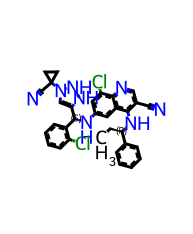 CC[C@@H](Nc1c(C#N)cnc2c(Cl)cc(N[C@H](C3=CN(C4(C#N)CC4)NN3)c3ccccc3Cl)cc12)c1ccccc1